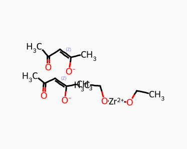 CC(=O)/C=C(/C)[O-].CC(=O)/C=C(/C)[O-].CC[O][Zr+2][O]CC